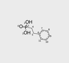 O=P(O)(O)CCc1ccccc1